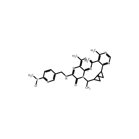 C=C(/N=C1\C(=C(C)C)N=C(NCc2ccc([S+](C)[O-])nc2)C(=O)N1C(C)C1CC1)c1c(C)ncnc1C1CC1